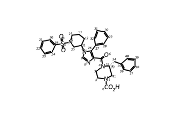 O=C(O)N1CCN(C(=O)c2ncn(C3CCCN(S(=O)(=O)c4ccccc4)C3)c2-c2ccccc2)[C@H](Cc2ccccc2)C1